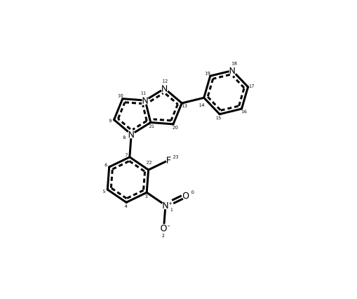 O=[N+]([O-])c1cccc(-n2ccn3nc(-c4cccnc4)cc23)c1F